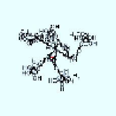 COP(=O)(O)OC[C@H]1OCC[C@@H]1OP(=O)(O)OCCCCCCNC(=O)[C@H](CCCCN(Cc1cn(CCOCCO[C@@H]2O[C@H](O)[C@H](O)[C@H](O)[C@H]2NC(C)=O)nn1)Cc1cn(CCOCCO[C@@H]2O[C@H](CO)[C@H](O)[C@H](O)[C@H]2NC(C)=O)nn1)N(Cc1cn(CCOCCO[C@@H]2O[C@H](CO)[C@H](O)[C@H](O)[C@H]2C)nn1)Cc1cn(CCOCCO[C@@H]2O[C@H](CO)[C@H](O)[C@H](O)[C@H]2NC(C)=O)nn1